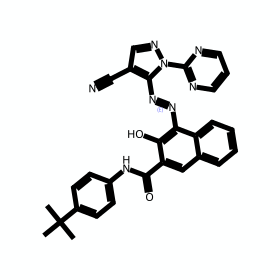 CC(C)(C)c1ccc(NC(=O)c2cc3ccccc3c(/N=N/c3c(C#N)cnn3-c3ncccn3)c2O)cc1